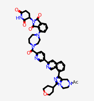 CC(=O)N1CCn2c(C3CCOCC3)nc(-c3cccc4cc(-c5ccc(C(=O)N6CCCN(c7cccc8c7C(=O)N(C7CCC(=O)NC7=O)C8=O)CC6)nc5)ncc34)c2C1